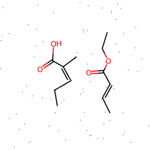 C/C=C/C(=O)OCC.CCC=C(C)C(=O)O